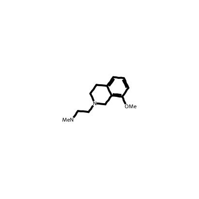 CNCCN1CCc2cccc(OC)c2C1